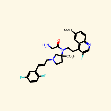 COc1ccc2ncc(F)c(CCN(C(=O)CN)C3(C(=O)O)CCN(CC=Cc4cc(F)ccc4F)C3)c2c1